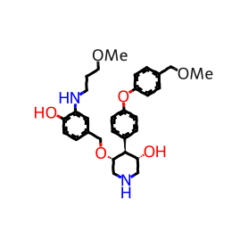 COCCCNc1cc(CO[C@H]2CNC[C@@H](O)[C@@H]2c2ccc(Oc3ccc(COC)cc3)cc2)ccc1O